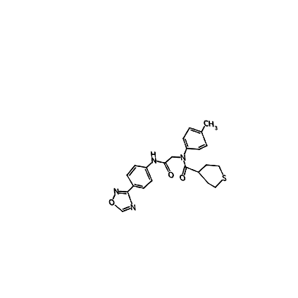 Cc1ccc(N(CC(=O)Nc2ccc(-c3ncon3)cc2)C(=O)C2CCSCC2)cc1